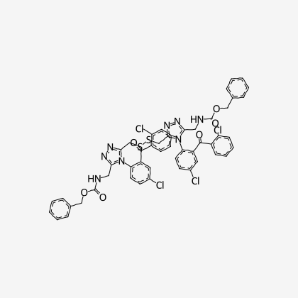 O=C(NCc1nnc(CSSCc2nnc(CNC(=O)OCc3ccccc3)n2-c2ccc(Cl)cc2C(=O)c2ccccc2Cl)n1-c1ccc(Cl)cc1C(=O)c1ccccc1Cl)OCc1ccccc1